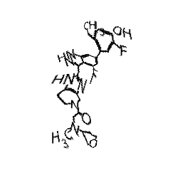 CCc1cc(O)c(F)cc1-c1cc(F)c2c(-c3nc4c([nH]3)CCN(C(=O)CN(C)C3CCOC3)C4)n[nH]c2c1